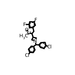 C[S+]([O-])C(Cc1cc(F)cc(F)c1)C1CN(C(c2ccc(Cl)cc2)c2ccc(Cl)cc2)C1